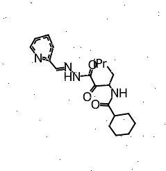 CC(C)CC(NC(=O)C1CCCCC1)C(=O)C(=O)NN=Cc1ccccn1